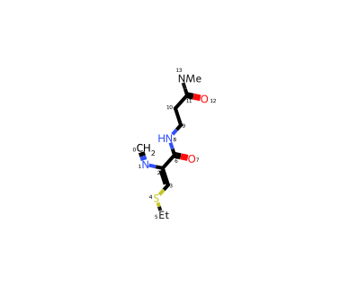 C=N/C(=C\SCC)C(=O)NCCC(=O)NC